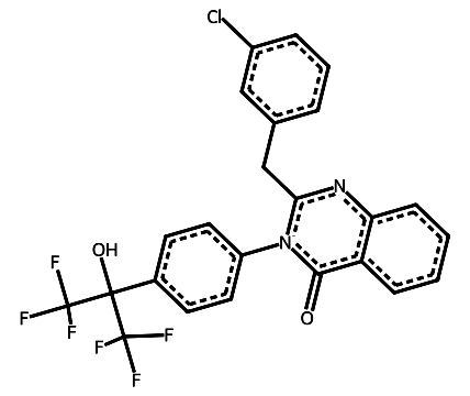 O=c1c2ccccc2nc(Cc2cccc(Cl)c2)n1-c1ccc(C(O)(C(F)(F)F)C(F)(F)F)cc1